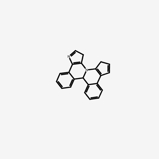 C1=CC2=C(C1)N1C3=C(N=CC3)c3ccccc3C1c1ccccc12